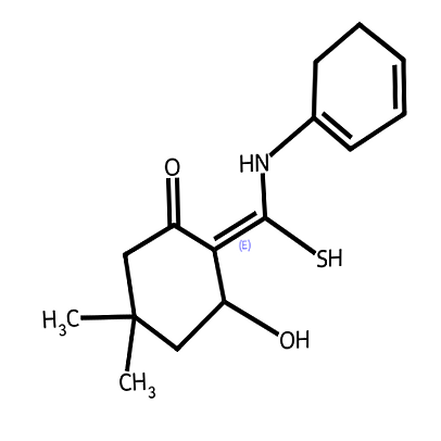 CC1(C)CC(=O)/C(=C(/S)NC2=CC=CCC2)C(O)C1